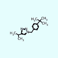 CC(C)c1cn(Cc2ccc(C(C)(C)C)cc2)nn1